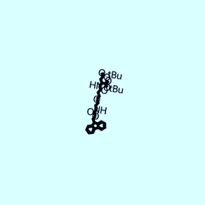 CC(C)(C)OC(=O)CC(NC(=O)CCOCCNC(=O)OCC1c2ccccc2-c2ccccc21)C(=O)OC(C)(C)C